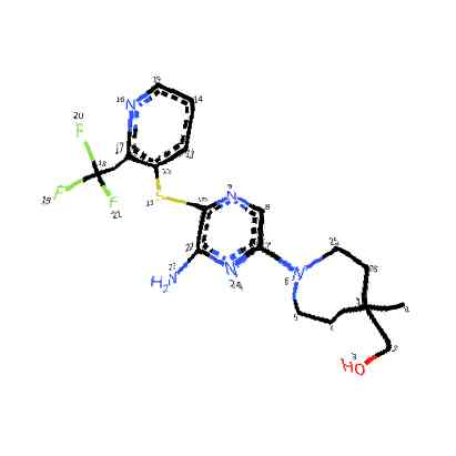 CC1(CO)CCN(c2cnc(Sc3cccnc3C(F)(F)F)c(N)n2)CC1